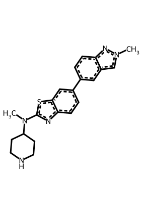 CN(c1nc2ccc(-c3ccc4nn(C)cc4c3)cc2s1)C1CCNCC1